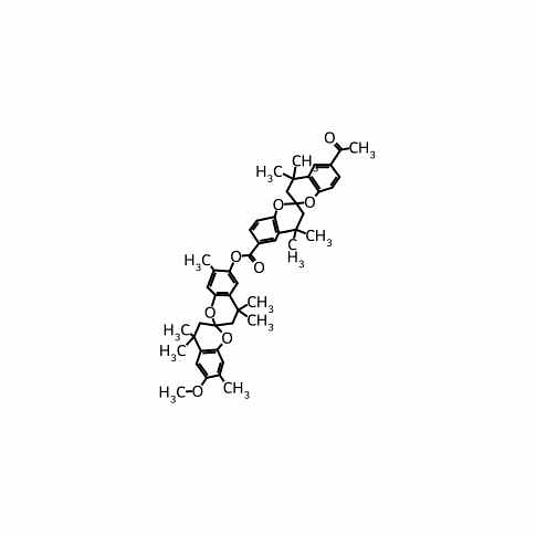 COc1cc2c(cc1C)OC1(CC2(C)C)CC(C)(C)c2cc(OC(=O)c3ccc4c(c3)C(C)(C)CC3(CC(C)(C)c5cc(C(C)=O)ccc5O3)O4)c(C)cc2O1